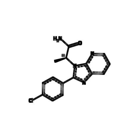 C[C@@H](C(N)=O)n1c(-c2ccc(Cl)cc2)nc2cccnc21